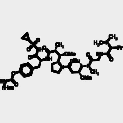 CCCCCCNC(=O)Oc1ccc(C[C@H](NC(=O)[C@H](C)[C@@H](OC)[C@@H]2CCCN2C(=O)C[C@@H](OC)[C@H]([C@@H](C)CC)N(C)C(=O)CNC(=O)C(C(C)C)N(C)C)C(=O)NS(=O)(=O)C2CC2)cc1